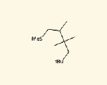 CSCC(C)C(C)(C)CC(C)(C)C